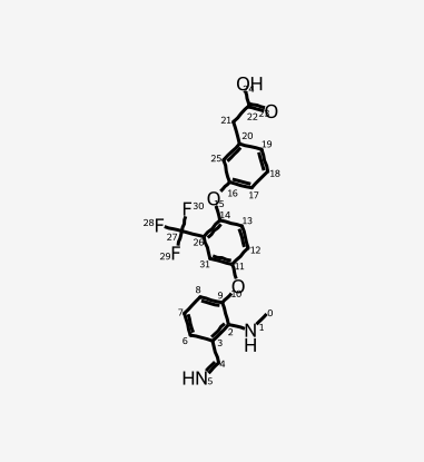 CNc1c(C=N)cccc1Oc1ccc(Oc2cccc(CC(=O)O)c2)c(C(F)(F)F)c1